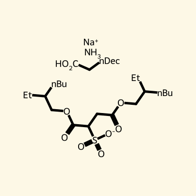 CCCCC(CC)COC(=O)CC(C(=O)OCC(CC)CCCC)S(=O)(=O)[O-].CCCCCCCCCCCC(=O)O.N.[Na+]